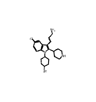 CC(C)C1CCC(n2c(C3CCNCC3)c(CCCN)c3cc(Cl)ccc32)CC1